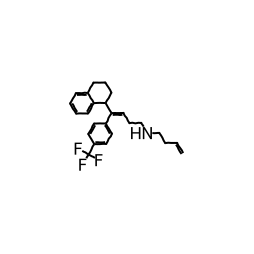 C=CCCNCCC=C(c1ccc(C(F)(F)F)cc1)C1CCCc2ccccc21